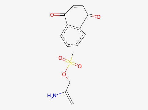 C=C(N)COS(C)(=O)=O.O=C1C=CC(=O)c2ccccc21